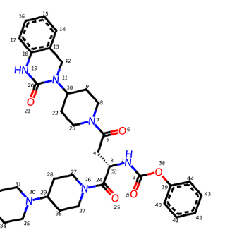 O=C(N[C@@H](CC(=O)N1CCC(N2Cc3ccccc3NC2=O)CC1)C(=O)N1CCC(N2CCCCC2)CC1)Oc1ccccc1